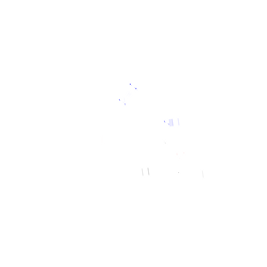 CC(C)(C)OC(=O)Nc1cn(C2CCCCO2)nc1CO